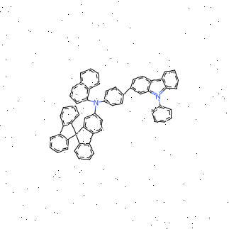 c1ccc(-n2c3ccccc3c3ccc(-c4ccc(N(c5ccc6c(c5)C5(c7ccccc7-c7ccccc75)c5ccccc5-6)c5cccc6ccccc56)cc4)cc32)cc1